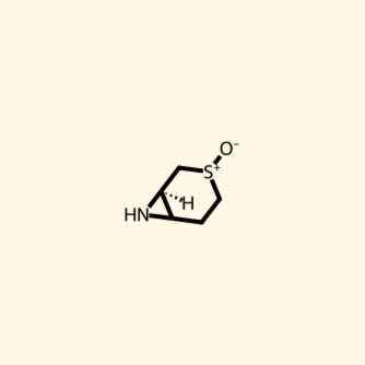 [O-][S+]1CCC2N[C@H]2C1